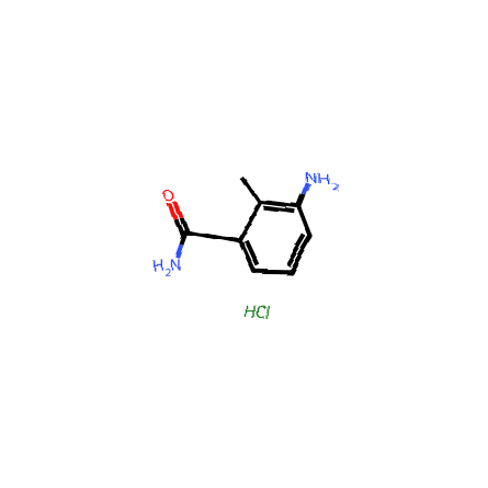 Cc1c(N)cccc1C(N)=O.Cl